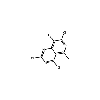 Cc1nc(Cl)c(F)c2nc(Cl)nc(Cl)c12